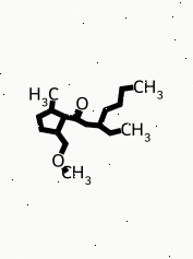 CCCCC(CC)CC(=O)C1C(C)CCC1COC